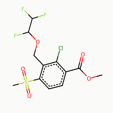 COC(=O)c1ccc(S(C)(=O)=O)c(COC(F)C(F)F)c1Cl